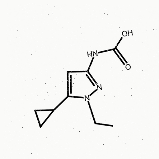 CCn1nc(NC(=O)O)cc1C1CC1